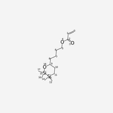 C=CC(=O)OCCCCC1CC[Si](C)(C)[Si](C)(C)O1